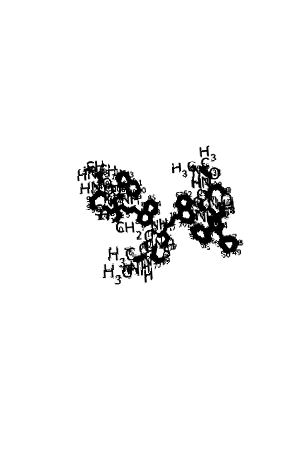 C=CCC1(C/C=C/C2CC[C@@H](NC(=O)[C@@H]3C(C/C=C/C4CC[C@@H](NC(=O)[C@H]5N6C(=O)[C@@H](NC(=O)[C@H](C)NC)CCO[C@H]6CC5(CCc5ccccc5)CCc5ccccc5)c5ccccc54)C[C@@H]4SCC[C@H](NC(=O)[C@H](C)NC)C(=O)N43)c3ccccc32)C[C@@H]2SCC[C@H](NC(=O)[C@H](C)NC)C(=O)N2[C@H]1C(=O)N[C@@H]1CCCc2ccccc21